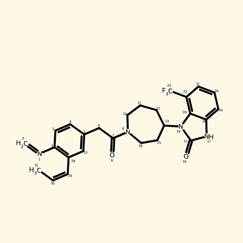 C=Nc1ccc(CC(=O)N2CCCC(n3c(=O)[nH]c4cccc(C(F)(F)F)c43)CC2)cc1/C=C\C